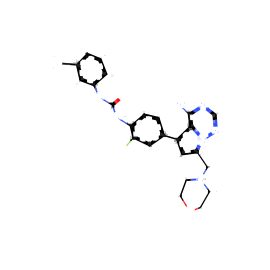 Nc1ncnn2c(CN3CCOCC3)cc(-c3ccc(NC(=O)Nc4cccc(C(F)(F)F)c4)c(F)c3)c12